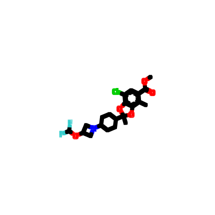 COC(=O)c1cc(Cl)c2c(c1C)OC(C)(C1CCC(N3CC(OC(F)F)C3)CC1)O2